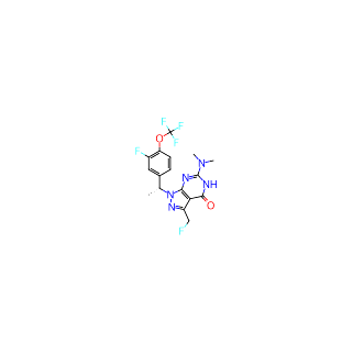 C[C@H](c1ccc(OC(F)(F)F)c(F)c1)n1nc(CF)c2c(=O)[nH]c(N(C)C)nc21